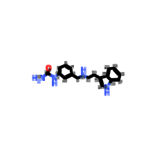 NC(=O)Nc1cc[c]c(CNCCc2c[nH]c3ccccc23)c1